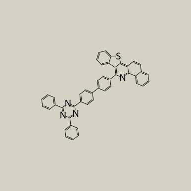 c1ccc(-c2nc(-c3ccccc3)nc(-c3ccc(-c4ccc(-c5nc6c7ccccc7ccc6c6sc7ccccc7c56)cc4)cc3)n2)cc1